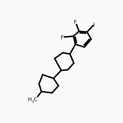 CC1CCC(C2CCC(c3ccc(I)c(F)c3F)CC2)CC1